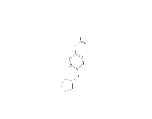 COC(=O)Cc1ccc(CN2CCCC2)c(O)c1